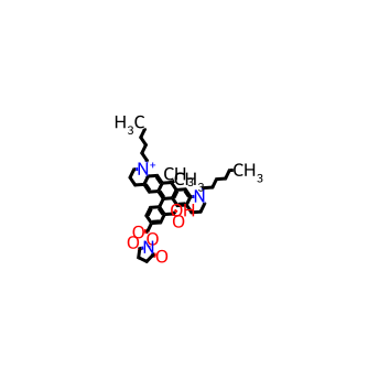 CCCCCCN1CCCc2cc3c(cc21)C(C)(C)c1cc2c(cc1=C3c1ccc(C(=O)ON3C(=O)CCC3=O)cc1C(=O)O)CCC[N+]=2CCCCCC